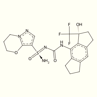 N[S@](=O)(=NC(=O)Nc1c2c(cc3c1[C@@](O)(C(F)(F)F)CC3)CCC2)c1cnn2c1OCCC2